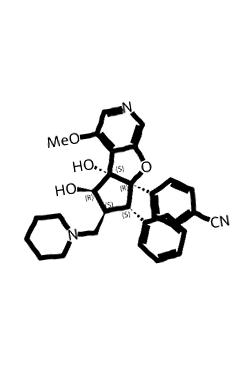 COc1cncc2c1[C@]1(O)[C@H](O)[C@H](CN3CCCCC3)[C@@H](c3ccccc3)[C@]1(c1ccc(C#N)cc1)O2